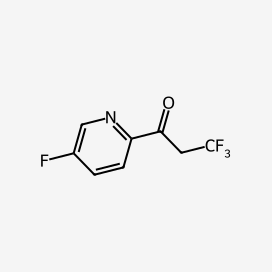 O=C(CC(F)(F)F)c1ccc(F)cn1